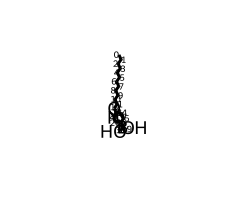 CCCCCCCCCCCCOc1ccc(B(O)O)cn1